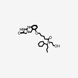 CCCC(C1CCCCC1)N(CCO)C(=O)CCCCOc1cccc2c1CN1CC(=O)NC1=N2